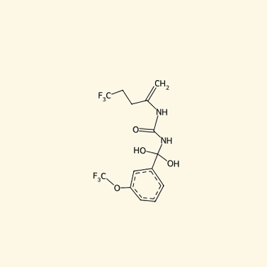 C=C(CCC(F)(F)F)NC(=O)NC(O)(O)c1cccc(OC(F)(F)F)c1